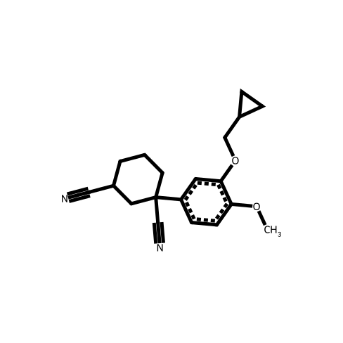 COc1ccc(C2(C#N)CCCC(C#N)C2)cc1OCC1CC1